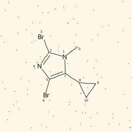 Cn1c(Br)nc(Br)c1C1CC1